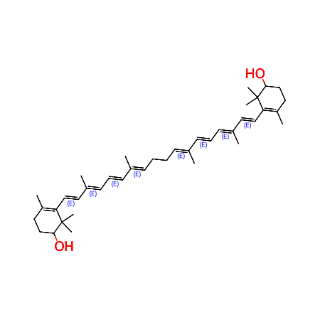 CC1=C(/C=C/C(C)=C/C=C/C(C)=C/CC/C=C(C)/C=C/C=C(C)/C=C/C2=C(C)CCC(O)C2(C)C)C(C)(C)C(O)CC1